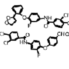 O=C(Nc1ccc(Oc2ccccc2C2CCOO2)c(F)c1)c1ccc(Cl)c(Cl)c1.O=Cc1ccc(Oc2ccc(NC(=O)c3ccc(Cl)c(Cl)c3)cc2F)cc1